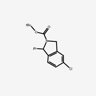 CC(C)C1c2ccc(Cl)cc2CN1C(=O)OC(C)(C)C